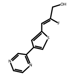 OCC(F)=Cc1cc(-c2cnccn2)cs1